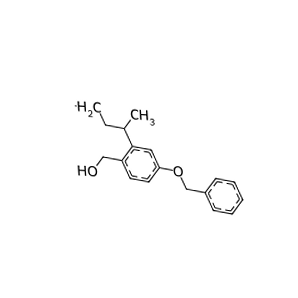 [CH2]CC(C)c1cc(OCc2ccccc2)ccc1CO